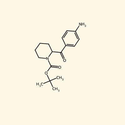 CC(C)(C)OC(=O)N1CCCCC1C(=O)c1ccc(N)cc1